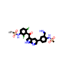 CCCS(=O)(=O)Nc1ccc(F)c(C(=O)c2c[nH]c3ncc(-c4ccc(NS(C)(=O)=O)c(C=N)c4)cc23)c1F